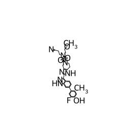 COCCN(CCC#N)S(=O)(=O)N1CCc2[nH]c(-c3n[nH]c4cc(-c5cc(F)c(O)cc5C)ccc34)nc2C1